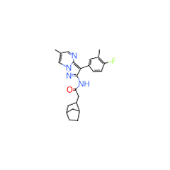 Cc1cnc2c(-c3ccc(F)c(C)c3)c(NC(=O)CC3CC4CCC3C4)nn2c1